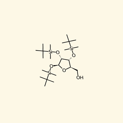 CC(C)(C)[Si](C)(C)O[C@@H]1O[C@H](CO)[C@@H](O[Si](C)(C)C(C)(C)C)[C@H]1O[Si](C)(C)C(C)(C)C